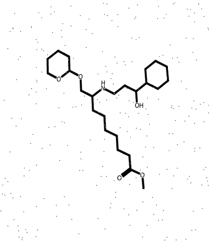 COC(=O)CCCCCCC(COC1CCCCO1)NCCC(O)C1CCCCC1